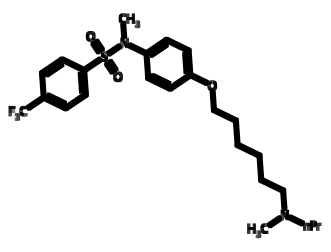 CCCN(C)CCCCCCOc1ccc(N(C)S(=O)(=O)c2ccc(C(F)(F)F)cc2)cc1